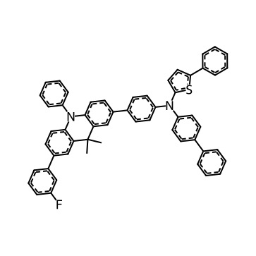 CC1(C)c2cc(-c3ccc(N(c4ccc(-c5ccccc5)cc4)c4ccc(-c5ccccc5)s4)cc3)ccc2N(c2ccccc2)c2ccc(-c3cccc(F)c3)cc21